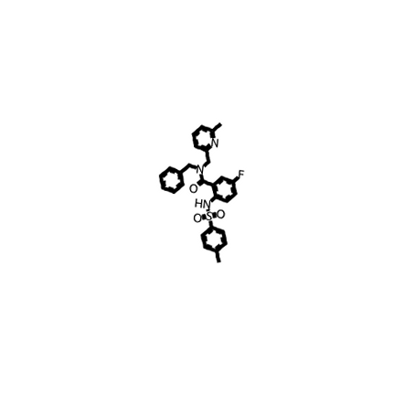 Cc1ccc(S(=O)(=O)Nc2ccc(F)cc2C(=O)N(Cc2ccccc2)Cc2cccc(C)n2)cc1